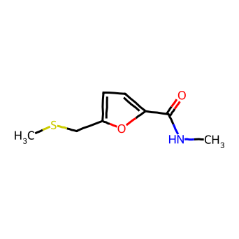 CNC(=O)c1ccc(CSC)o1